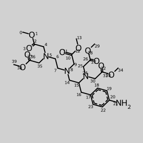 COC(=O)CN(CCN(CC(=O)OC)CC(Cc1ccc(N)cc1)N(CC(=O)OC)CC(=O)OC)CC(=O)OC